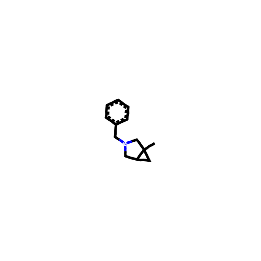 CC12CC1CN(Cc1ccccc1)C2